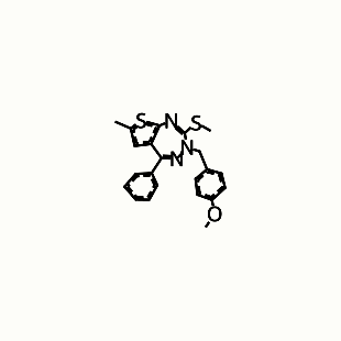 COc1ccc(CN2N=C(c3ccccc3)c3cc(C)sc3N=C2SC)cc1